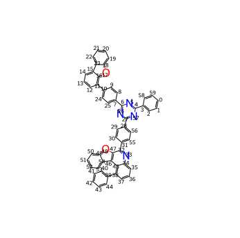 c1ccc(-c2nc(-c3ccc(-c4cccc5c4oc4ccccc45)cc3)nc(-c3ccc(-c4nc5cccc(-c6ccccc6)c5c5c4oc4ccccc45)cc3)n2)cc1